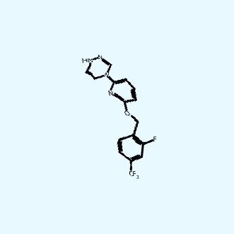 Fc1cc(C(F)(F)F)ccc1COc1cccc(N2C=NNCC2)n1